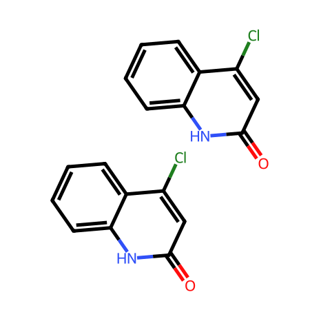 O=c1cc(Cl)c2ccccc2[nH]1.O=c1cc(Cl)c2ccccc2[nH]1